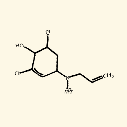 C=CCN(CCC)C1C=C(Cl)C(O)C(Cl)C1